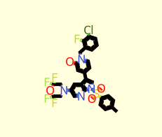 Cc1ccc(S(=O)(=O)n2cc(-c3ccn(Cc4cccc(Cl)c4F)c(=O)c3)c3cc(N4CC(F)(F)OC(F)(F)C4)cnc32)cc1